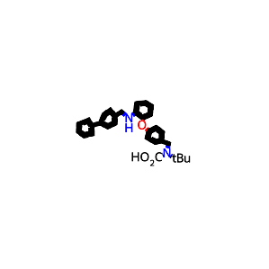 CC(C)(C)N(Cc1ccc(Oc2ccccc2NCc2ccc(-c3ccccc3)cc2)cc1)C(=O)O